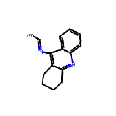 CC(C)C=Nc1c2c(nc3ccccc13)CCCC2